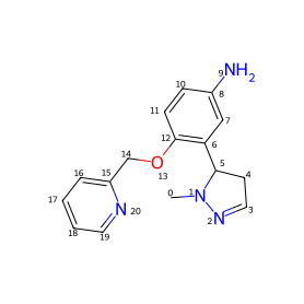 CN1N=CCC1c1cc(N)ccc1OCc1ccccn1